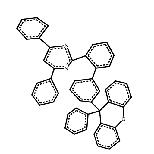 c1ccc(-c2cc(-c3ccccc3)nc(-c3ccccc3-c3cccc(C4(c5ccccc5)c5ccccc5Oc5ccccc54)c3)n2)cc1